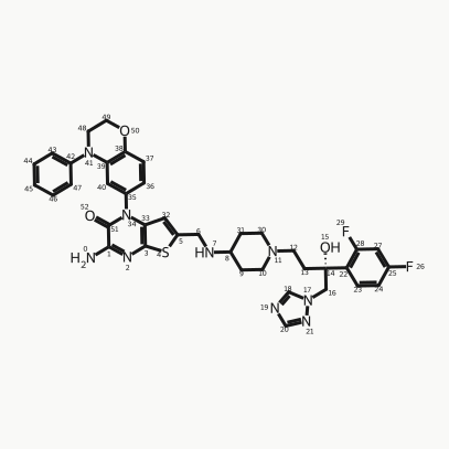 Nc1nc2sc(CNC3CCN(CC[C@](O)(Cn4cncn4)c4ccc(F)cc4F)CC3)cc2n(-c2ccc3c(c2)N(c2ccccc2)CCO3)c1=O